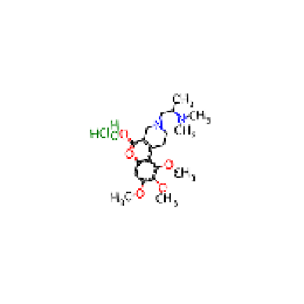 COc1cc2oc(=O)c3c(c2c(OC)c1OC)CCN(CC(C)N(C)C)C3.Cl.Cl